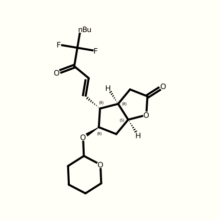 CCCCC(F)(F)C(=O)C=C[C@@H]1[C@H]2CC(=O)O[C@H]2C[C@H]1OC1CCCCO1